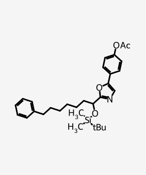 CC(=O)Oc1ccc(-c2cnc(C(CCCCCCc3ccccc3)O[Si](C)(C)C(C)(C)C)o2)cc1